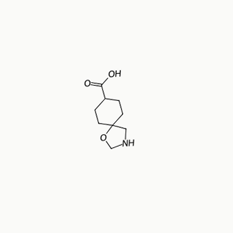 O=C(O)C1CCC2(CC1)CNCO2